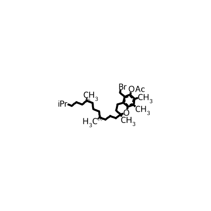 CC(=O)Oc1c(C)c(C)c2c(c1CBr)CCC(C)(CCC[C@@H](C)CCC[C@H](C)CCCC(C)C)O2